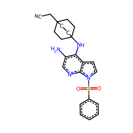 N#CCC12CCC(Nc3c(N)cnc4c3ccn4S(=O)(=O)c3ccccc3)(CC1)CC2